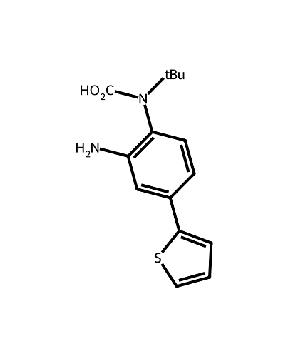 CC(C)(C)N(C(=O)O)c1ccc(-c2cccs2)cc1N